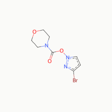 O=C(On1ccc(Br)n1)N1CCOCC1